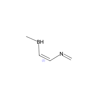 C=N/C=C\BC